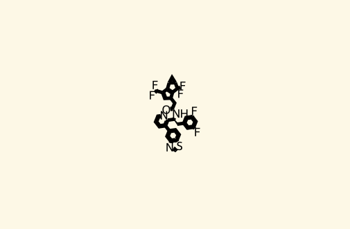 O=C(CC1C=C(C(F)F)C2=C1C(F)(F)C1CC21)N[C@@H](Cc1cc(F)cc(F)c1)c1ncccc1-c1ccc2scnc2c1